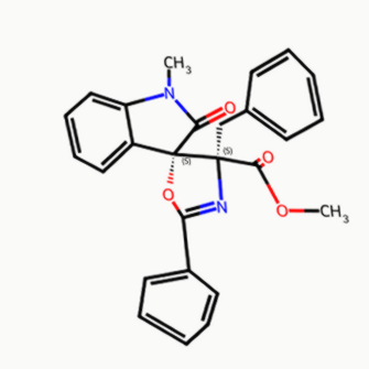 COC(=O)[C@@]1(Cc2ccccc2)N=C(c2ccccc2)O[C@]12C(=O)N(C)c1ccccc12